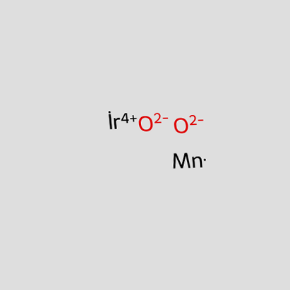 [Ir+4].[Mn].[O-2].[O-2]